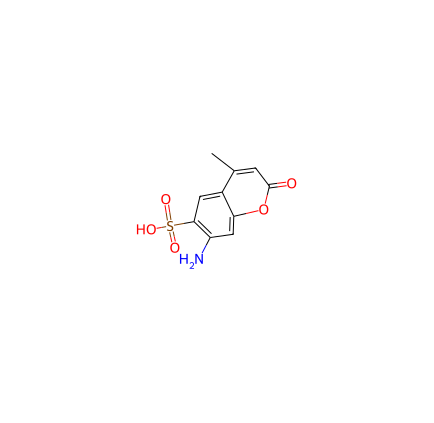 Cc1cc(=O)oc2cc(N)c(S(=O)(=O)O)cc12